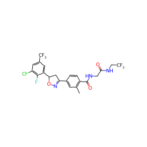 Cc1cc(C2=NOC(c3cc(C(F)(F)F)cc(Cl)c3F)C2)ccc1C(=O)NCC(=O)NCC(F)(F)F